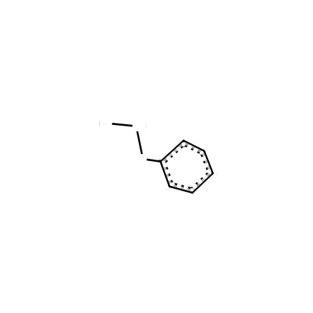 C[SiH]Sc1ccccc1